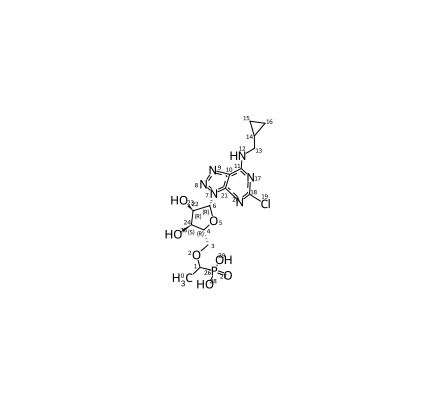 CC(OC[C@H]1O[C@@H](n2nnc3c(NCC4CC4)nc(Cl)nc32)[C@H](O)[C@@H]1O)P(=O)(O)O